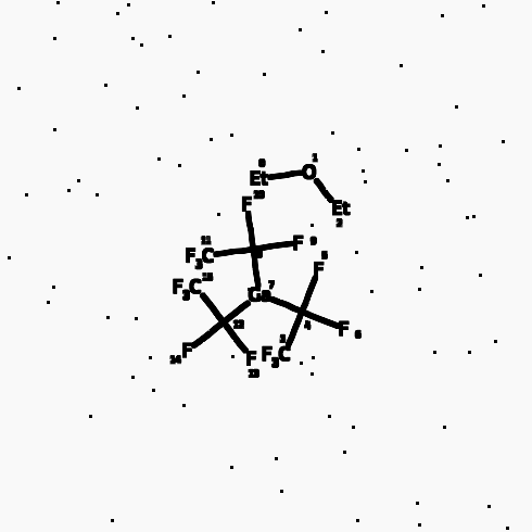 CCOCC.FC(F)(F)[C](F)(F)[Ga]([C](F)(F)C(F)(F)F)[C](F)(F)C(F)(F)F